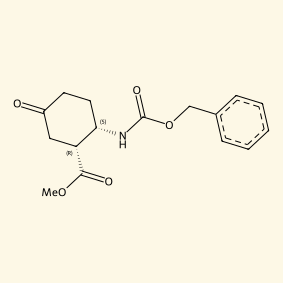 COC(=O)[C@@H]1CC(=O)CC[C@@H]1NC(=O)OCc1ccccc1